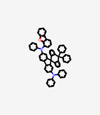 c1ccc(N(c2ccccc2)c2ccc3c(c2)C2(c4cc(N(c5ccccc5)c5cccc6c5oc5ccccc56)ccc4-3)c3ccccc3C(c3ccccc3)(c3ccccc3)c3ccccc32)cc1